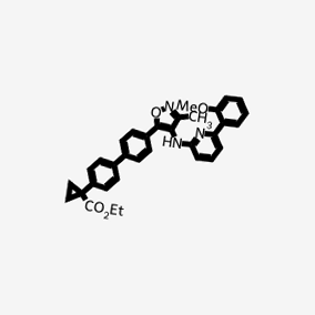 CCOC(=O)C1(c2ccc(-c3ccc(-c4onc(C)c4Nc4cccc(-c5ccccc5OC)n4)cc3)cc2)CC1